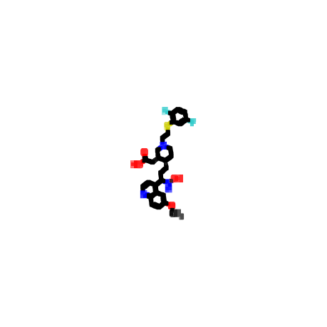 COc1ccc2nccc(C(CC[C@@H]3CCN(CCSc4cc(F)ccc4F)C[C@@H]3CC(=O)O)NO)c2c1